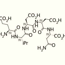 CC(C)[C@H](NC(=O)[C@@H](N)CCC(=O)O)C(=O)N[C@@H](CC(=O)O)C(=O)N[C@@H](CC(=O)O)C(=O)N[C@@H](CC(N)=O)C(=O)O